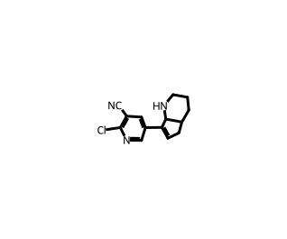 N#Cc1cc(C2=CCC3CCCNC23)cnc1Cl